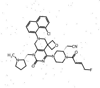 CN1CCC[C@H]1Cn1c2c(c(N3CCN(C(=O)/C=C/CF)[C@@H](CC#N)C3)nc1=O)C1(COC1)CN(c1cccc3cccc(Cl)c13)C2